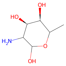 CC1OC(O)C(N)[C@@H](O)[C@H]1O